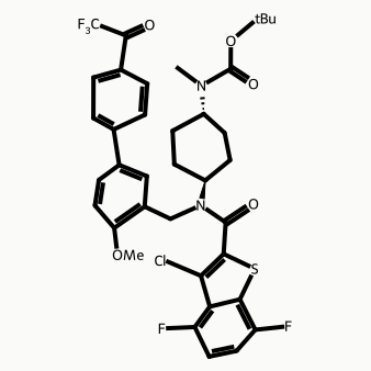 COc1ccc(-c2ccc(C(=O)C(F)(F)F)cc2)cc1CN(C(=O)c1sc2c(F)ccc(F)c2c1Cl)[C@H]1CC[C@H](N(C)C(=O)OC(C)(C)C)CC1